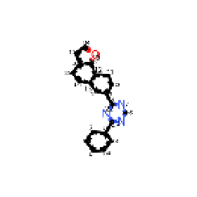 c1ccc(-c2ncnc(-c3ccc4c(ccc5ccoc54)c3)n2)cc1